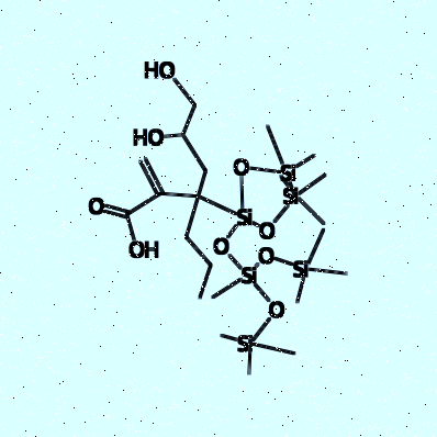 C=C(C(=O)O)C(CCC)(CC(O)CO)[Si](O[Si](C)(C)C)(O[Si](C)(C)C)O[Si](C)(O[Si](C)(C)C)O[Si](C)(C)C